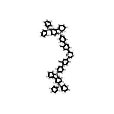 Cc1cc(-c2cncc(-c3ccc(-c4ccc(-n5c6ccccc6c6cc(N(c7ccccc7)c7ccccc7)ccc65)cc4)c(C)c3)n2)ccc1-c1ccc(-n2c3ccccc3c3cc(N(c4ccccc4)c4ccccc4)ccc32)cc1